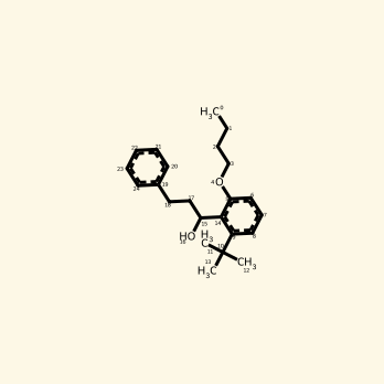 CCCCOc1cccc(C(C)(C)C)c1C(O)CCc1ccccc1